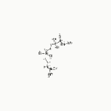 CCCNC(=O)C(CC)(CC)CCOC(CC)(CC)CCNC(=O)CCC